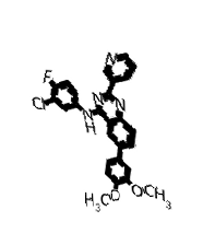 COc1ccc(-c2ccc3nc(-c4cccnc4)nc(Nc4ccc(F)c(Cl)c4)c3c2)cc1OC